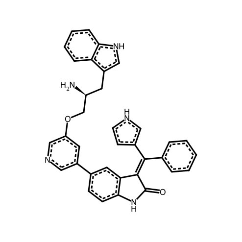 N[C@H](COc1cncc(-c2ccc3c(c2)C(=C(c2ccccc2)c2cc[nH]c2)C(=O)N3)c1)Cc1c[nH]c2ccccc12